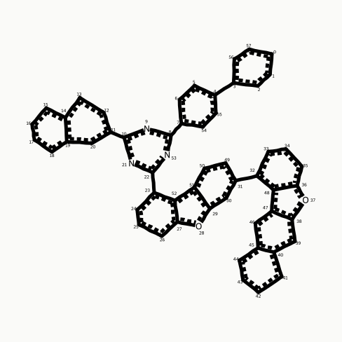 c1ccc(-c2ccc(-c3nc(-c4ccc5ccccc5c4)nc(-c4cccc5oc6cc(-c7cccc8oc9cc%10ccccc%10cc9c78)ccc6c45)n3)cc2)cc1